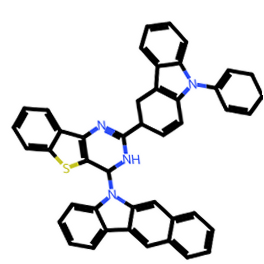 C1=CC(n2c3c(c4ccccc42)CC(C2=Nc4c(sc5ccccc45)C(n4c5ccccc5c5cc6ccccc6cc54)N2)C=C3)=CCC1